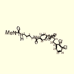 CNC(=O)NCCCCNC(=O)c1ccc(NS(=O)(=O)CCc2cccc(Cl)c2Cl)cc1